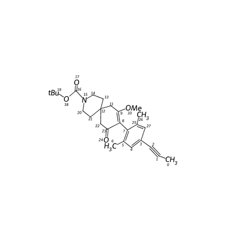 CC#Cc1cc(C)c(C2=C(OC)CC3(CCN(C(=O)OC(C)(C)C)CC3)CC2=O)c(C)c1